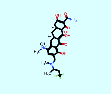 CC(CC(F)(F)F)N(C)Cc1cc(N(C)C)c2c(c1O)C(=O)C1=C(O)[C@]3(O)C(=O)C(C(N)=O)=C(O)C[C@@H]3C[C@@H]1C2